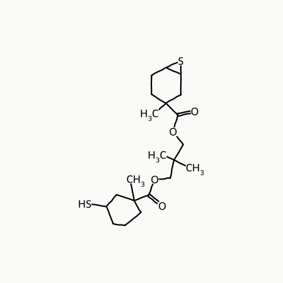 CC(C)(COC(=O)C1(C)CCCC(S)C1)COC(=O)C1(C)CCC2SC2C1